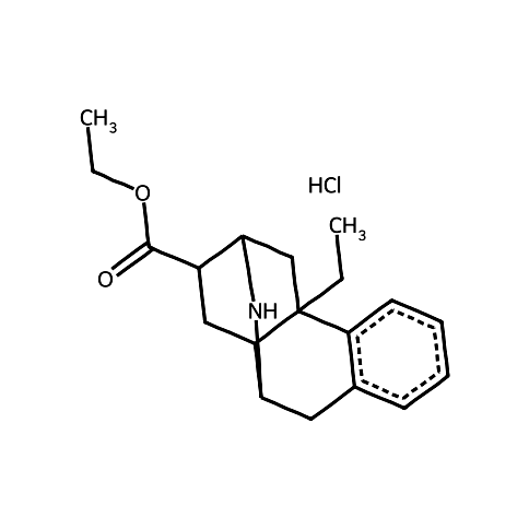 CCOC(=O)C1CC2C3Cc4ccccc4C2(CC)CC1N3.Cl